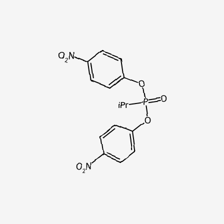 CC(C)P(=O)(Oc1ccc([N+](=O)[O-])cc1)Oc1ccc([N+](=O)[O-])cc1